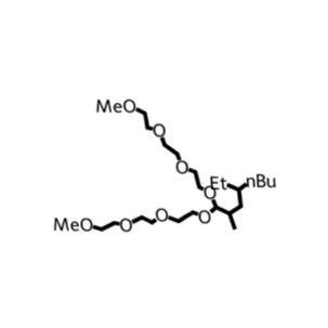 CCCCC(CC)CC(C)C(OCCOCCOCCOC)OCCOCCOCCOC